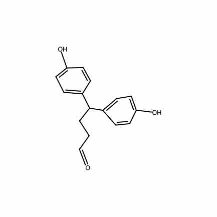 O=CCCC(c1ccc(O)cc1)c1ccc(O)cc1